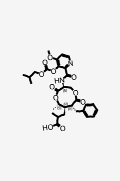 COc1ccnc(C(=O)N[C@H]2COC(=O)[C@H](Cc3ccccc3)[C@@H](CC(C)C(=O)O)[C@H](C)OC2=O)c1OC(=O)OCC(C)C